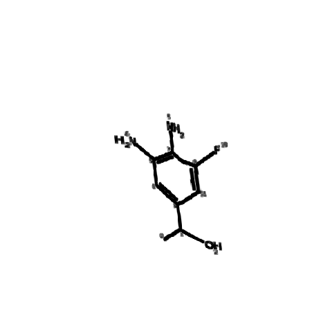 CC(O)c1cc(N)c(N)c(F)c1